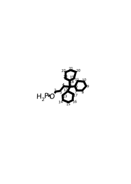 POCCCC(C1CCCCC1)(C1CCCCC1)C1CCCCC1